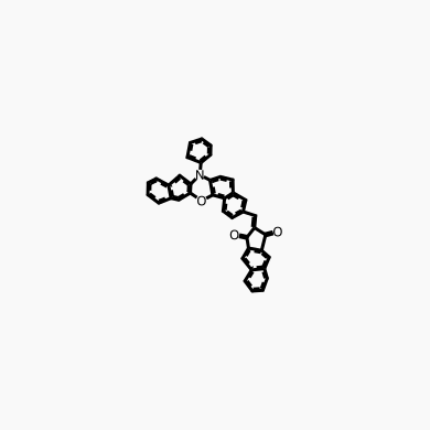 O=C1C(=Cc2ccc3c4c(ccc3c2)N(c2ccccc2)c2cc3ccccc3cc2O4)C(=O)c2cc3ccccc3cc21